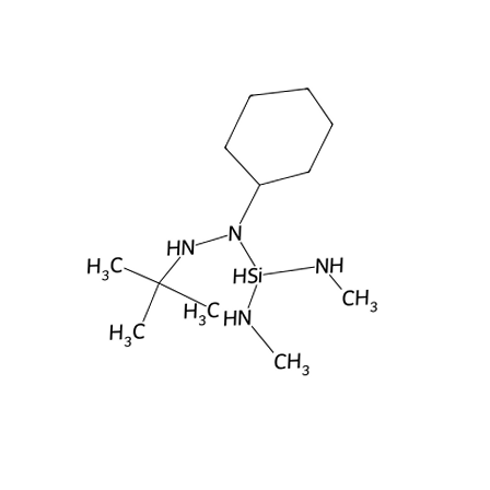 CN[SiH](NC)N(NC(C)(C)C)C1CCCCC1